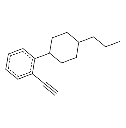 C#Cc1ccccc1C1CCC(CCC)CC1